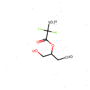 O=CCC(CO)OC(=O)C(F)(F)S(=O)(=O)O